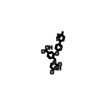 Cc1ccc(-c2ccc(Oc3cc(C(=O)O)ccc3Cn3ccc(=O)[nH]c3=O)cc2)nn1